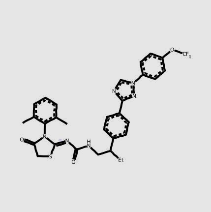 CCC(CNC(=O)/N=C1\SCC(=O)N1c1c(C)cccc1C)c1ccc(-c2ncn(-c3ccc(OC(F)(F)F)cc3)n2)cc1